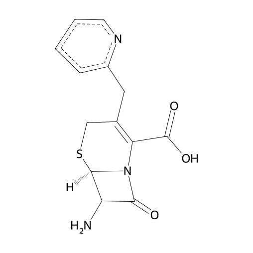 NC1C(=O)N2C(C(=O)O)=C(Cc3ccccn3)CS[C@H]12